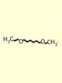 [CH2]COCCCCCCOCCC